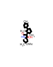 CO[C@]1(C)CC[C@]2(CC1)NC(=O)C(c1c(C)ccc(-c3ccc(C)cc3)c1C)=C2O